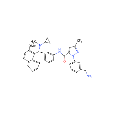 COc1ccc2ccccc2c1C(c1cccc(NC(=O)c2cc(C(F)(F)F)nn2-c2cccc(CN)c2)c1)N(C)C1CC1